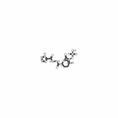 O=C(NNC(=O)[C@@H]1CC[C@@H]2CN1C(=O)N2OS(=O)(=O)O)c1nnn[nH]1